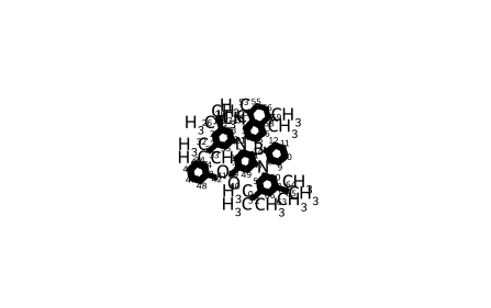 CC(C)(C)c1cc(N2c3ccccc3B3c4cc5c(cc4N(c4cc(C(C)(C)C)cc(C(C)(C)C)c4)c4cc(C(=O)OCc6ccccc6)cc2c43)C(C)(C)CCC5(C)C)cc(C(C)(C)C)c1